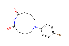 O=C1CCCN(c2ccc(Br)cc2)CCCC(=O)N1